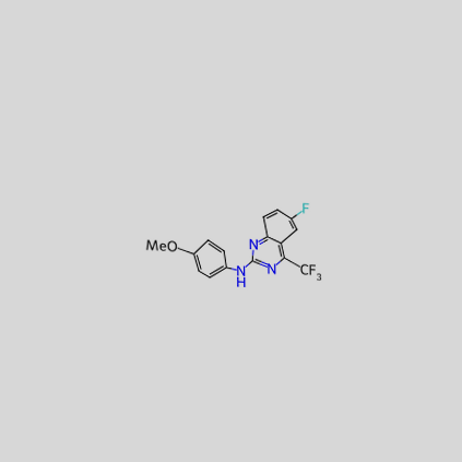 COc1ccc(Nc2nc(C(F)(F)F)c3cc(F)ccc3n2)cc1